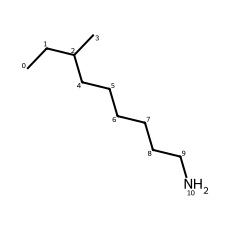 CCC(C)CCCCCCN